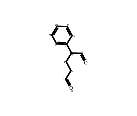 O=CCCC(C=O)c1ccccc1